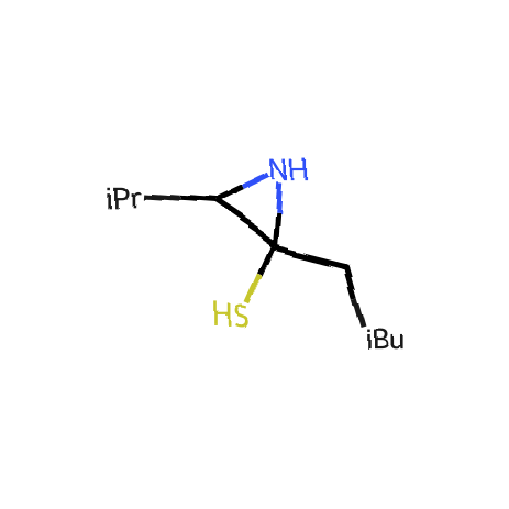 CCC(C)CC1(S)NC1C(C)C